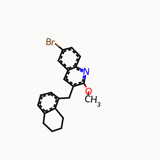 COc1nc2ccc(Br)cc2cc1Cc1cccc2c1CCCC2